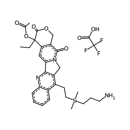 CCC1(OC(C)=O)C(=O)OCc2c1cc1n(c2=O)Cc2c-1nc1ccccc1c2CC[Si](C)(C)CCCN.O=C(O)C(F)(F)F